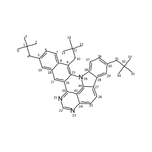 CC(C)(C)Cc1ccc2c(CC(C)(C)C)c3c(cc2c1)c1ncnc2ccc4c5cc(CC(C)(C)C)ccc5n3c4c21